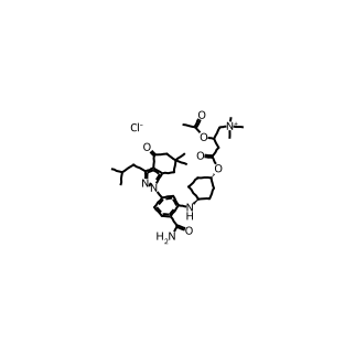 CC(=O)OC(CC(=O)O[C@H]1CC[C@H](Nc2cc(-n3nc(CC(C)C)c4c3CC(C)(C)CC4=O)ccc2C(N)=O)CC1)C[N+](C)(C)C.[Cl-]